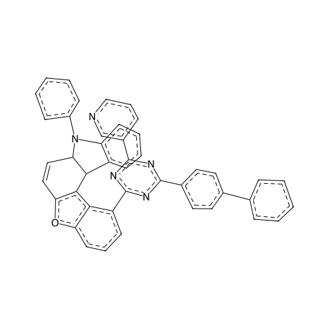 C1=CC2C(c3ccccc3N2c2ccccc2)c2c1oc1cccc(-c3nc(-c4ccc(-c5ccccc5)cc4)nc(-c4cccnc4)n3)c21